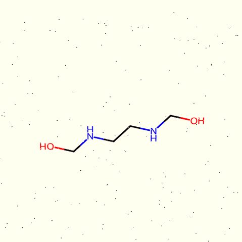 OCNCCNCO